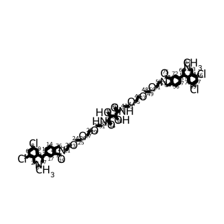 CN1Cc2c(Cl)cc(Cl)cc2C(c2ccc3c(c2)C(=O)N(CCOCCOCCOCCNC(=O)C(O)C(O)C(=O)NCCOCCOCCOCCN2Cc4ccc(C5CN(C)Cc6c(Cl)cc(Cl)cc65)cc4C2=O)C3)C1